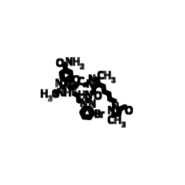 CCn1nc(C)c(CCCCCn2nc(C)cc2C=O)c1C(=O)Nc1nc2c(Br)cccc2n1CCC[C@H]1COc2cc(C(N)=O)cc3nc(NC)n1c23